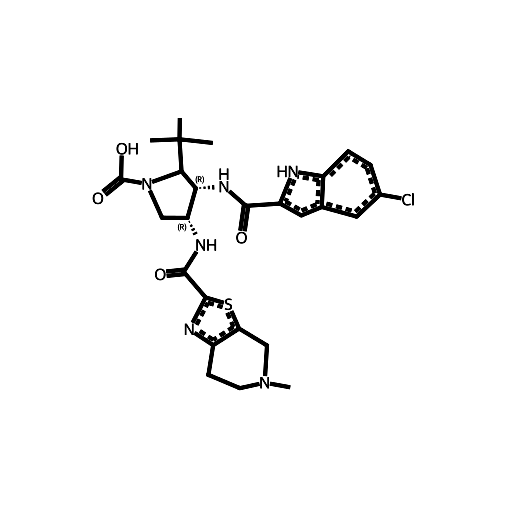 CN1CCc2nc(C(=O)N[C@@H]3CN(C(=O)O)C(C(C)(C)C)[C@@H]3NC(=O)c3cc4cc(Cl)ccc4[nH]3)sc2C1